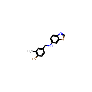 Cc1cc(CNc2ccc3ncsc3c2)ccc1S